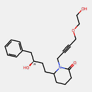 O=C1CCCC(CC[C@@H](O)Cc2ccccc2)N1CC#CCOCCO